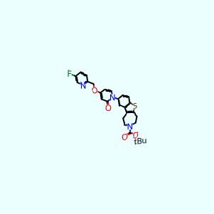 CC(C)(C)OC(=O)N1CCc2sc3ccc(-n4ccc(OCc5ccc(F)cn5)cc4=O)cc3c2CC1